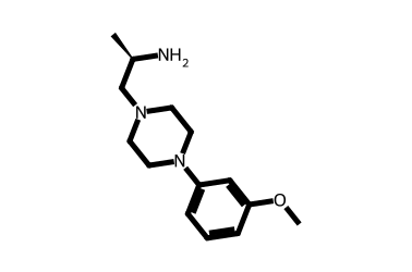 COc1cccc(N2CCN(C[C@@H](C)N)CC2)c1